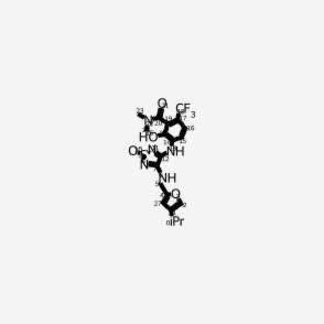 CC(C)c1coc(CNc2n[s+]([O-])nc2Nc2ccc(C(F)(F)F)c(C(=O)N(C)C)c2O)c1